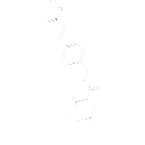 CC(C)C[C@@H](NCCc1ccc(/C=C/C(=O)NO)cc1)C(=O)O